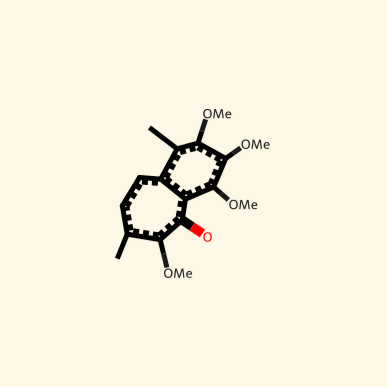 COc1c(OC)c(OC)c2c(=O)c(OC)c(C)ccc2c1C